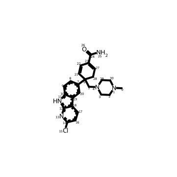 CN1CCN(CC2(c3ccc4[nH]c5nc(Cl)ccc5c4c3)C=CC(C(N)=O)=CC2)CC1